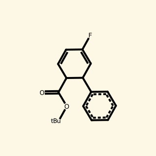 CC(C)(C)OC(=O)[C]1C=CC(F)=CC1c1ccccc1